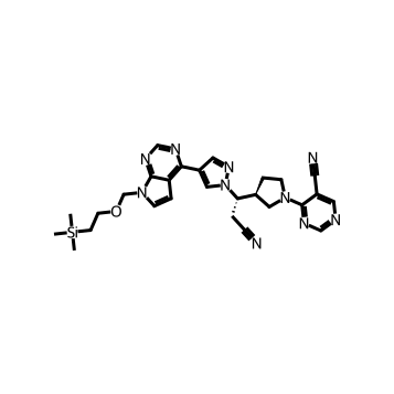 C[Si](C)(C)CCOCn1ccc2c(-c3cnn([C@@H](CC#N)[C@H]4CCN(c5ncncc5C#N)C4)c3)ncnc21